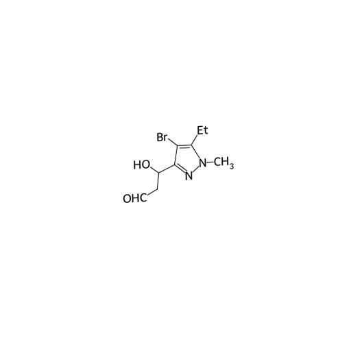 CCc1c(Br)c(C(O)CC=O)nn1C